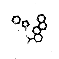 FC(F)C1CCCc2c1ccc1c2ccc2ccccc21.c1cc[nH]c1.c1ccncc1